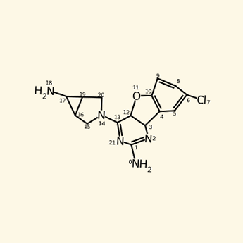 NC1=NC2c3cc(Cl)ccc3OC2C(N2CC3C(N)C3C2)=N1